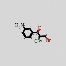 O=C(c1cccc([N+](=O)[O-])c1)C(Cl)CBr